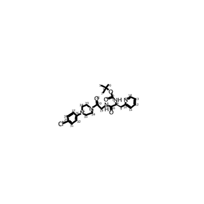 CC(C)(C)OC(=O)N[C@@H](Cc1ccccn1)C(=O)NCC(=O)N1CCN(c2ccc(Cl)cc2)CC1